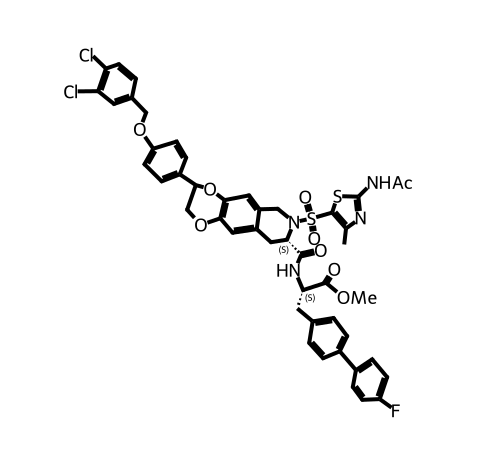 COC(=O)[C@H](Cc1ccc(-c2ccc(F)cc2)cc1)NC(=O)[C@@H]1Cc2cc3c(cc2CN1S(=O)(=O)c1sc(NC(C)=O)nc1C)OC(c1ccc(OCc2ccc(Cl)c(Cl)c2)cc1)CO3